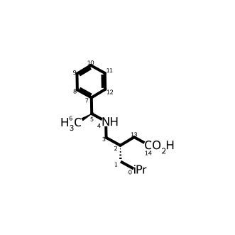 CC(C)C[C@H](CN[C@@H](C)c1ccccc1)CC(=O)O